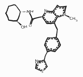 Cn1ccc2nc(C(=O)N[C@H]3CCCC[C@@H]3O)cc(Cc3ccc(-c4cscn4)cc3)c21